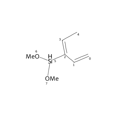 C=CC(=CC)[SiH](OC)OC